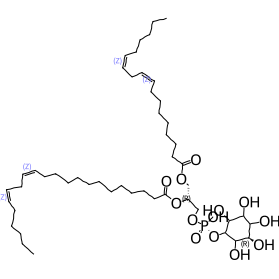 CCCCC/C=C\C/C=C\CCCCCCCCCCCC(=O)O[C@H](COC(=O)CCCCCCC/C=C\C/C=C\CCCCC)COP(=O)(O)OC1C(O)C(O)C(O)[C@@H](O)C1O